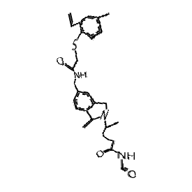 C=Cc1cc(C)ccc1SCC(=O)NCc1ccc2c(c1)CN(C(C)CCC(=O)NC=O)C2=C